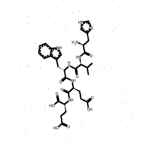 CC(C)[C@H](NC(=O)[C@@H](N)Cc1c[nH]cn1)C(=O)N[C@@H](Cc1c[nH]c2ccccc12)C(=O)N[C@@H](CCC(=O)O)C(=O)N[C@@H](CCC(=O)O)C(=O)O